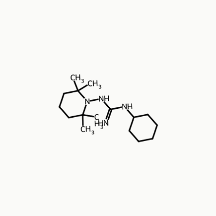 CC1(C)CCCC(C)(C)N1NC(=N)NC1CCCCC1